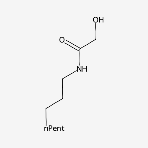 CCCCCCCCNC(=O)CO